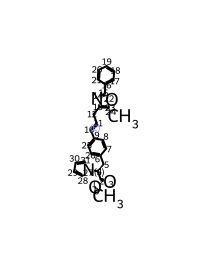 COC(=O)[C@H](Cc1ccc(/C=C/Cc2nc(-c3ccccc3)oc2C)cc1)n1cccc1